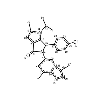 Cc1cc(N2C(=O)c3nc(C)n(C(C)C)c3[C@H]2c2ccc(Cl)cc2)cn2c(C)nnc12